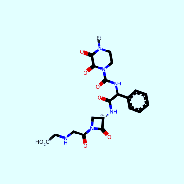 CCN1CCN(C(=O)NC(C(=O)N[C@H]2CN(C(=O)CNCC(=O)O)C2=O)c2ccccc2)C(=O)C1=O